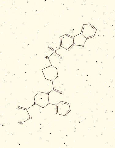 CC(C)(C)OC(=O)N1CCN(C(=O)C2CCC(NS(=O)(=O)c3ccc4c(c3)oc3ccccc34)CC2)C(c2ccccc2)C1